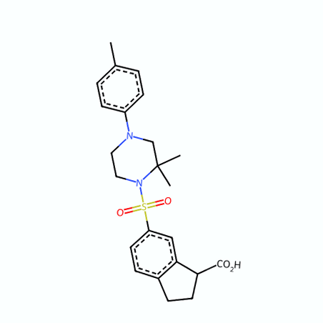 Cc1ccc(N2CCN(S(=O)(=O)c3ccc4c(c3)C(C(=O)O)CC4)C(C)(C)C2)cc1